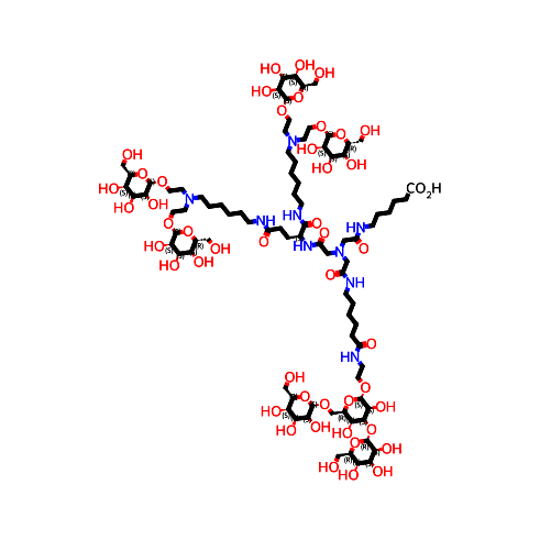 O=C(O)CCCCCNC(=O)CN(CC(=O)NCCCCCC(=O)NCCO[C@H]1O[C@H](CO[C@H]2O[C@H](CO)[C@@H](O)[C@H](O)[C@@H]2O)[C@@H](O)[C@H](O[C@H]2O[C@H](CO)[C@@H](O)[C@H](O)[C@@H]2O)[C@@H]1O)CC(=O)N[C@@H](CCC(=O)NCCCCCCN(CCO[C@H]1O[C@H](CO)[C@@H](O)[C@H](O)[C@@H]1O)CCO[C@H]1O[C@H](CO)[C@@H](O)[C@H](O)[C@@H]1O)C(=O)NCCCCCCN(CCO[C@H]1O[C@H](CO)[C@@H](O)[C@H](O)[C@@H]1O)CCO[C@H]1O[C@H](CO)[C@@H](O)[C@H](O)[C@@H]1O